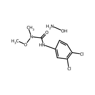 CON(C)C(=O)Nc1ccc(Cl)c(Cl)c1.NO